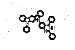 C1=CC2=C(CC1)N(c1ccccc1)C1C=c3c(c4ccccc4n3-c3ccc4c(c3)C(c3ccccc3)NC(c3ccccc3)=N4)=CC21